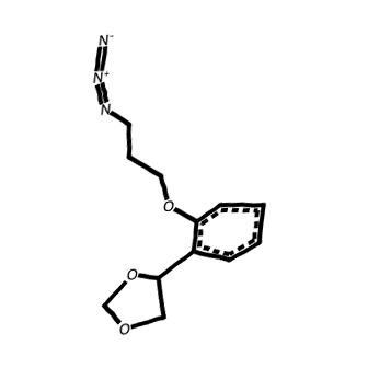 [N-]=[N+]=NCCCOc1ccccc1C1COCO1